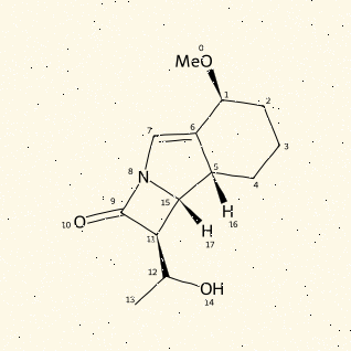 CO[C@H]1CCC[C@H]2C1=CN1C(=O)[C@H](C(C)O)[C@@H]21